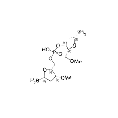 B[C@H]1C[C@@H](OC)[C@@H](COP(=O)(O)O[C@@H]2C[C@H](B)O[C@@H]2COC)O1